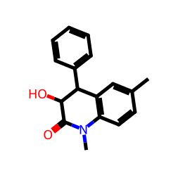 Cc1ccc2c(c1)C(c1ccccc1)C(O)C(=O)N2C